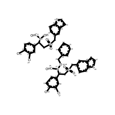 O=CN(O)C(CS(=O)(=O)Cc1ccc2sccc2c1)c1ccc(Cl)c(Cl)c1.O=CN(OCc1ccccc1)C(CS(=O)(=O)Cc1ccc2sccc2c1)c1ccc(Cl)c(Cl)c1